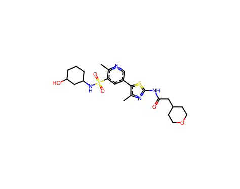 Cc1ncc(-c2sc(NC(=O)CC3CCOCC3)nc2C)cc1S(=O)(=O)NC1CCCC(O)C1